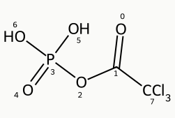 O=C(OP(=O)(O)O)C(Cl)(Cl)Cl